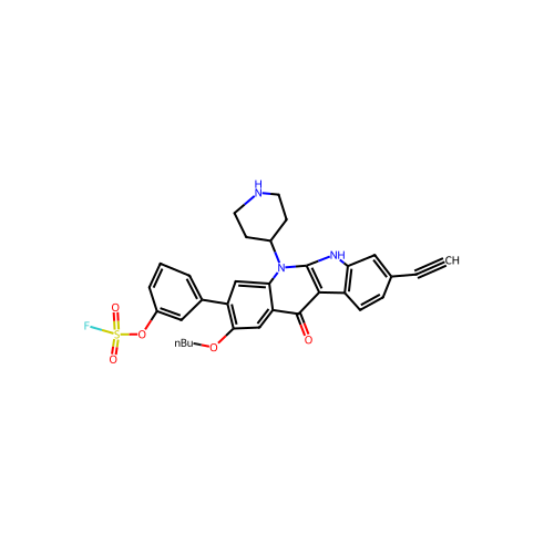 C#Cc1ccc2c(c1)[nH]c1c2c(=O)c2cc(OCCCC)c(-c3cccc(OS(=O)(=O)F)c3)cc2n1C1CCNCC1